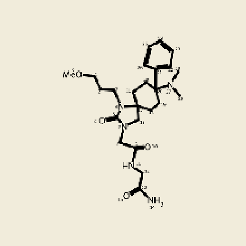 COCCCN1C(=O)N(CC(=O)NCC(N)=O)CC12CCC(c1ccccc1)(N(C)C)CC2